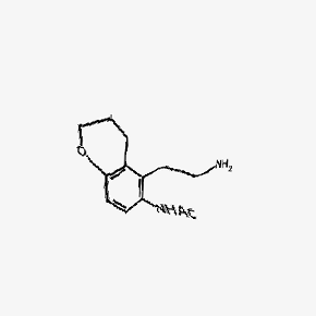 CC(=O)Nc1ccc2c(c1CCN)C[CH]CO2